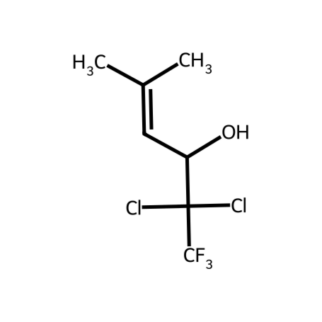 CC(C)=CC(O)C(Cl)(Cl)C(F)(F)F